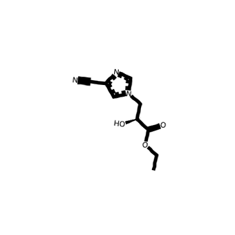 CCOC(=O)[C@@H](O)Cn1cnc(C#N)c1